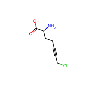 N[C@@H](CCC#CCCl)C(=O)O